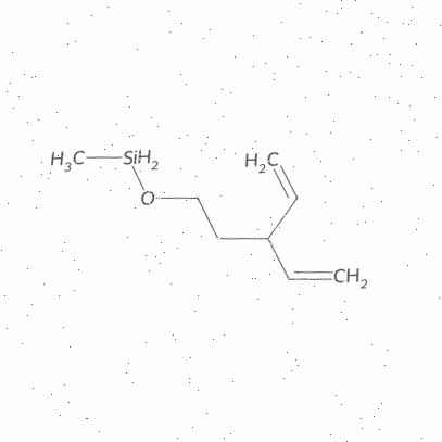 C=CC(C=C)CCO[SiH2]C